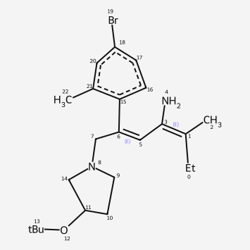 CC/C(C)=C(N)\C=C(\CN1CCC(OC(C)(C)C)C1)c1ccc(Br)cc1C